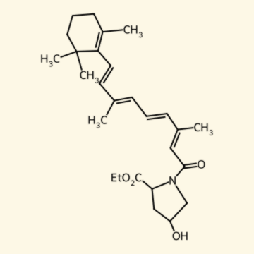 CCOC(=O)C1CC(O)CN1C(=O)C=C(C)C=CC=C(C)C=CC1=C(C)CCCC1(C)C